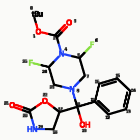 CC(C)(C)OC(=O)N1C(F)CN(C(O)(c2ccccc2)C2CNC(=O)O2)CC1F